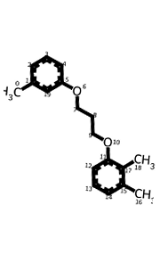 Cc1cccc(OCCCOc2cccc(C)c2C)c1